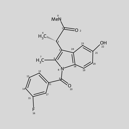 CNC(=O)[C@@H](C)c1c(C)n(C(=O)c2cccc(F)c2)c2ccc(O)cc12